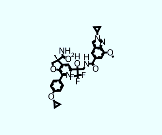 COc1cc(C(=O)NCC(O)(c2cc3c(c(-c4ccc(OC5CC5)cc4)n2)OC[C@]3(C)C(N)=O)C(F)(F)F)cc2cn(C3CC3)nc12